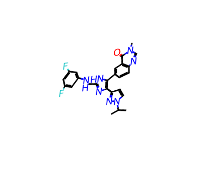 CC(C)n1ccc(-c2nc(CNc3cc(F)cc(F)c3)[nH]c2-c2ccc3ncn(C)c(=O)c3c2)n1